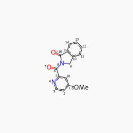 COc1ccnc(C(=O)N2Cc3ccccc3C2=O)c1